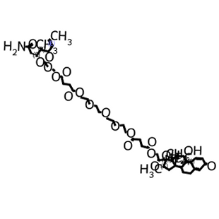 C/C=C/C[C@@H](C)[C@H](CC(N)=O)OC(=O)OCOC(=O)CCC(=O)OCCOCCOCCOCCOC(=O)CCC(=O)OCC(=O)[C@@]1(O)[C@@H](C)CC2C3CCC4=CC(=O)C=C[C@]4(C)[C@@]3(F)C(O)C[C@@]21C